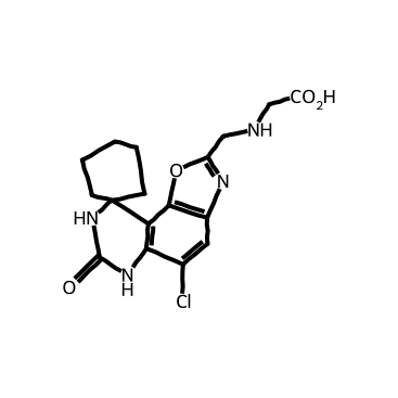 O=C(O)CNCc1nc2cc(Cl)c3c(c2o1)C1(CCCCC1)NC(=O)N3